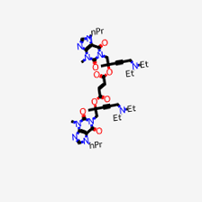 CCCn1cnc2c1c(=O)n(CC(C)(C#CCN(CC)CC)OC(=O)/C=C/C(=O)OC(C)(C#CCN(CC)CC)Cn1c(=O)c3c(ncn3CCC)n(C)c1=O)c(=O)n2C